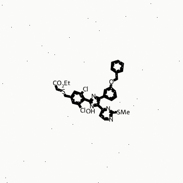 CCOC(=O)CSCc1cc(Cl)c(-c2nc(-c3cccc(OCc4ccccc4)c3)c(-c3ccnc(SC)n3)n2O)c(Cl)c1